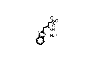 O=S(=O)([O-])CC(S)Cc1nc2ccccc2s1.[Na+]